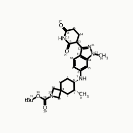 C[C@@H]1CC2(CC[C@@H]1Nc1ccc3c(C4CCC(=O)NC4=O)nn(C)c3c1)CN(C(=O)OC(C)(C)C)C2